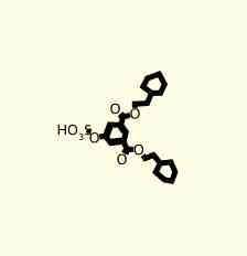 O=C(OCCC1CCCCC1)c1cc(OS(=O)(=O)O)cc(C(=O)OCCC2CCCCC2)c1